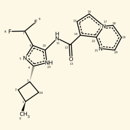 C[C@H]1C[C@H](c2nc(C(F)F)c(NC(=O)c3ccn4cccnc34)[nH]2)C1